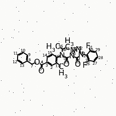 Cc1cc(C(=O)OCc2ccccc2)ccc1N(C(=O)n1nnn(-c2c(F)cccc2F)c1=O)C(C)C